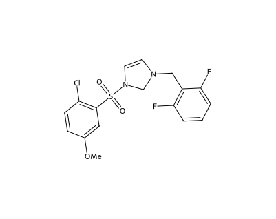 COc1ccc(Cl)c(S(=O)(=O)N2C=CN(Cc3c(F)cccc3F)C2)c1